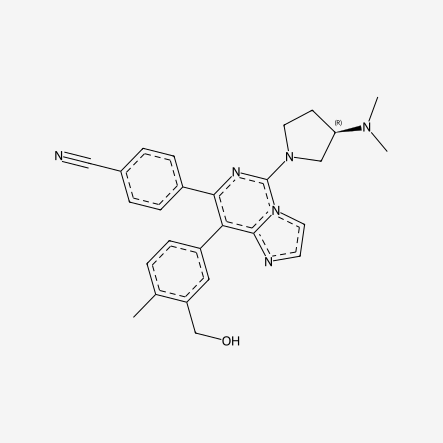 Cc1ccc(-c2c(-c3ccc(C#N)cc3)nc(N3CC[C@@H](N(C)C)C3)n3ccnc23)cc1CO